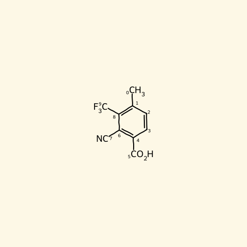 Cc1ccc(C(=O)O)c(C#N)c1C(F)(F)F